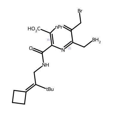 BC/C(=N/C(C(=O)NCC(=C1CCC1)C(C)(C)C)=C(\CCC)C(=O)O)C(=C)CBr